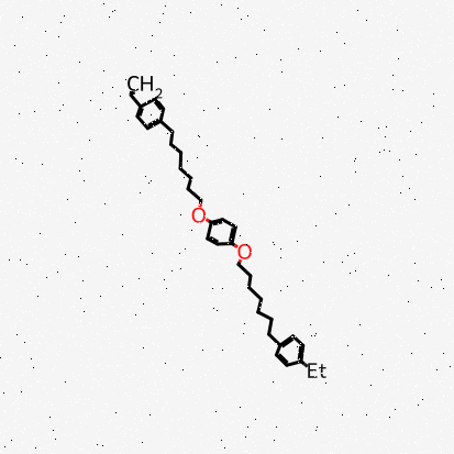 C=Cc1ccc(CCCCCCCOc2ccc(OCCCCCCCc3ccc(CC)cc3)cc2)cc1